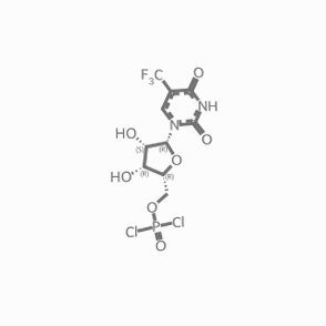 O=c1[nH]c(=O)n([C@@H]2O[C@H](COP(=O)(Cl)Cl)[C@H](O)[C@@H]2O)cc1C(F)(F)F